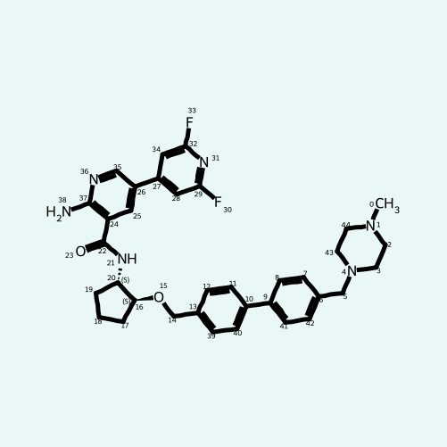 CN1CCN(Cc2ccc(-c3ccc(CO[C@H]4CCC[C@@H]4NC(=O)c4cc(-c5cc(F)nc(F)c5)cnc4N)cc3)cc2)CC1